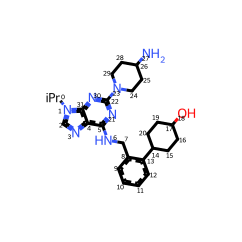 CC(C)n1cnc2c(NCc3ccccc3C3CCC(O)CC3)nc(N3CCC(N)CC3)nc21